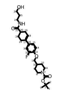 CC(C)(C)OC(=O)N1CCC(COc2ccc(C3=CCC(C(=O)NCCCO)CC3)cc2F)CC1